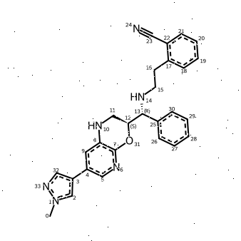 Cn1cc(-c2cnc3c(c2)NC[C@@H]([C@H](NCCc2ccccc2C#N)c2ccccc2)O3)cn1